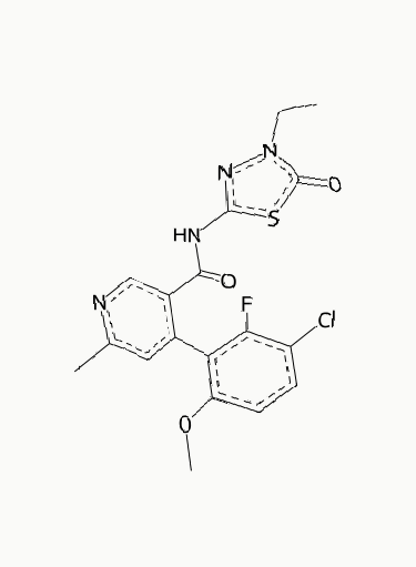 CCn1nc(NC(=O)c2cnc(C)cc2-c2c(OC)ccc(Cl)c2F)sc1=O